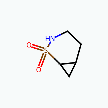 O=S1(=O)NCCC2C[C]21